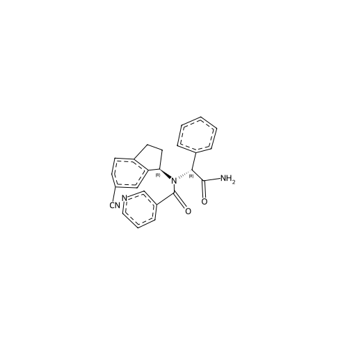 N#Cc1ccc2c(c1)[C@H](N(C(=O)c1cccnc1)[C@@H](C(N)=O)c1ccccc1)CC2